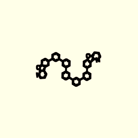 c1cc(-c2cccc(-c3cccc(-c4ccc5oc6ncccc6c5c4)c3)c2)cc(-c2cccc(-c3cccc(-c4ccc5oc6cccnc6c5c4)c3)c2)c1